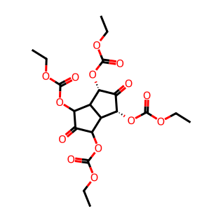 CCOC(=O)OC1C(=O)C(OC(=O)OCC)C2C1[C@H](OC(=O)OCC)C(=O)[C@@H]2OC(=O)OCC